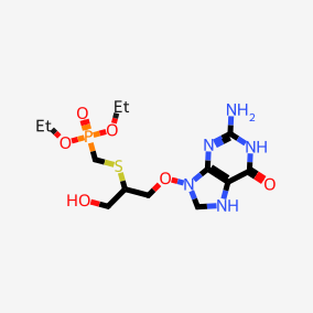 CCOP(=O)(CSC(CO)CON1CNc2c1nc(N)[nH]c2=O)OCC